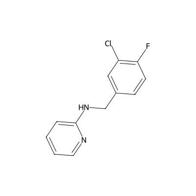 Fc1ccc(CNc2ccccn2)cc1Cl